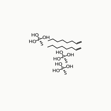 C=CCCCCCC.C=CCCCCCC.OP(O)(O)=S.OP(O)(O)=S.OP(O)(O)=S